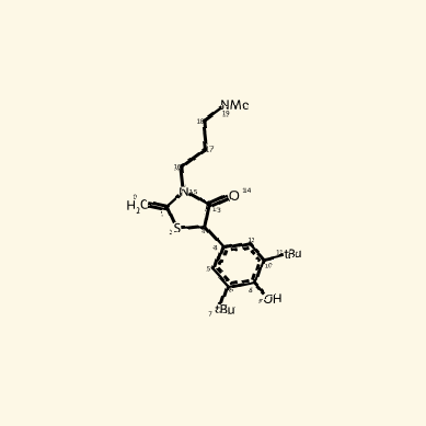 C=C1SC(c2cc(C(C)(C)C)c(O)c(C(C)(C)C)c2)C(=O)N1CCCNC